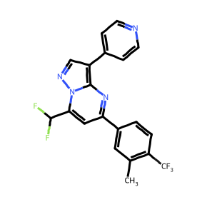 Cc1cc(-c2cc(C(F)F)n3ncc(-c4ccncc4)c3n2)ccc1C(F)(F)F